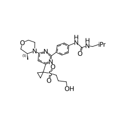 CC(C)CNC(=O)Nc1ccc(-c2nc(N3CCOC[C@@H]3C)cc(C3(S(=O)(=O)CCCO)CC3)n2)cc1